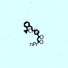 CCCC(=O)CC(=O)C1CCC(CCc2ccccc2C2(C)CC2)C1